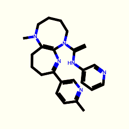 C=C(Nc1cccnc1)N1CCCCN(C)C2=C1N=C(c1ccc(C)nc1)CCC2